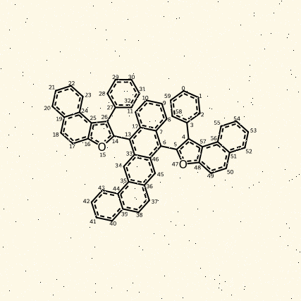 c1ccc(-c2c(-c3c4ccccc4c(-c4oc5ccc6ccccc6c5c4-c4ccccc4)c4cc5c(ccc6ccccc65)cc34)oc3ccc4ccccc4c23)cc1